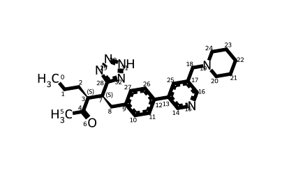 CCC[C@H](C(C)=O)[C@H](Cc1ccc(-c2cncc(CN3CCCCC3)c2)cc1)c1nn[nH]n1